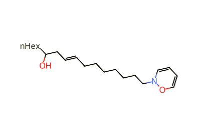 CCCCCCC(O)CC=CCCCCCCCN1C=CC=CO1